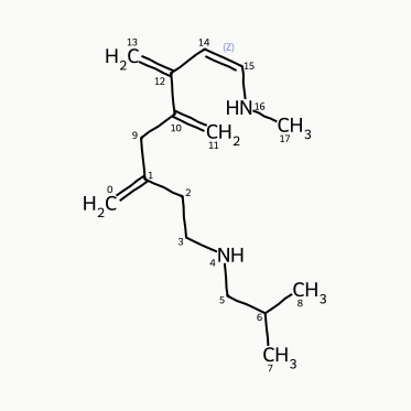 C=C(CCNCC(C)C)CC(=C)C(=C)/C=C\NC